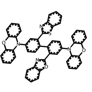 c1ccc2c(c1)Oc1ccccc1N2c1ccc(-c2ccc(N3c4ccccc4Oc4ccccc43)cc2-c2nc3ccccc3s2)c(-c2nc3ccccc3o2)c1